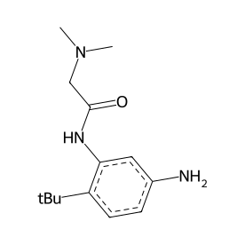 CN(C)CC(=O)Nc1cc(N)ccc1C(C)(C)C